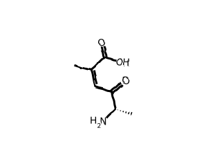 CC(=CC(=O)[C@H](C)N)C(=O)O